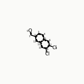 O=Cc1ccc2cc(Cl)c(Cl)cc2c1